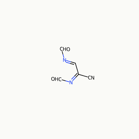 N#CC(C=NC=O)=NC=O